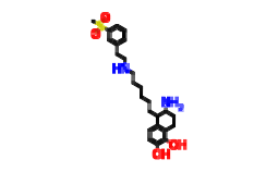 CS(=O)(=O)c1cccc(CCNCCCCCCC2c3ccc(O)c(O)c3CCC2N)c1